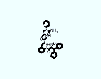 NC(=O)N(C[C@@H]1CO[C@H](CCc2ccccc2NC(=O)[C@@H](NC(=O)O)C(c2ccccc2)c2ccccc2)CN1)c1ccccn1